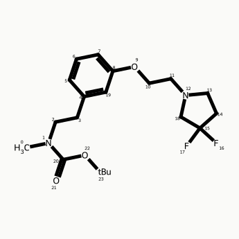 CN(CCc1cccc(OCCN2CCC(F)(F)C2)c1)C(=O)OC(C)(C)C